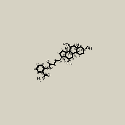 C[C@]12CC[C@@H](O)C[C@H]1C[C@@H](O)[C@@H]1[C@@H]2C[C@H](O)[C@]2(C)[C@@H](CCCC(=O)Nc3ccccc3C(N)=O)CC[C@@H]12